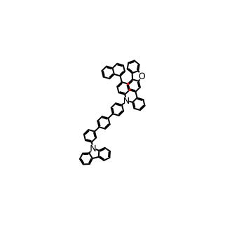 c1cc(-c2ccc(-c3ccc(N(c4ccc(-c5cccc6ccccc56)cc4)c4ccccc4-c4ccc5c(c4)oc4ccccc45)cc3)cc2)cc(-n2c3ccccc3c3ccccc32)c1